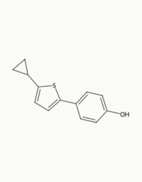 Oc1ccc(-c2ccc(C3CC3)s2)cc1